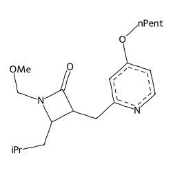 CCCCCOc1ccnc(CC2C(=O)N(COC)C2CC(C)C)c1